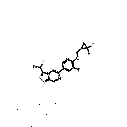 Fc1cc(-c2cn3c(C(F)F)nnc3cn2)cnc1OCC1CC1(F)F